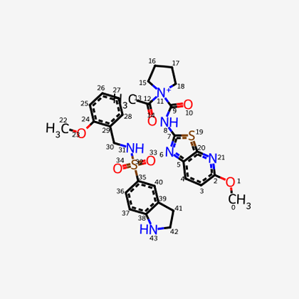 COc1ccc2nc(NC(=O)[N+]3(C(C)=O)CCCC3)sc2n1.COc1ccccc1CNS(=O)(=O)c1ccc2c(c1)CCN2